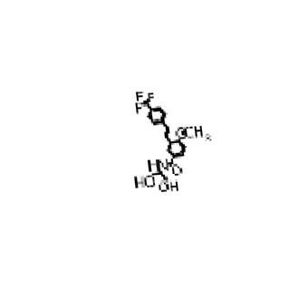 COc1ccc(C(=O)NC(CO)CO)cc1/C=C/c1ccc(C(F)(F)F)cc1